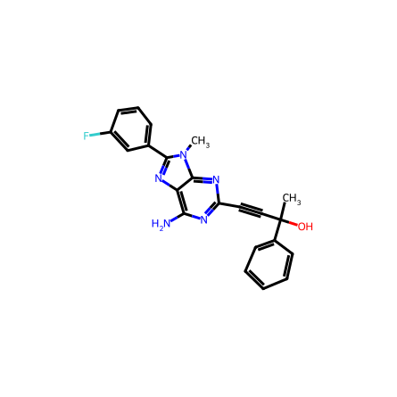 Cn1c(-c2cccc(F)c2)nc2c(N)nc(C#CC(C)(O)c3ccccc3)nc21